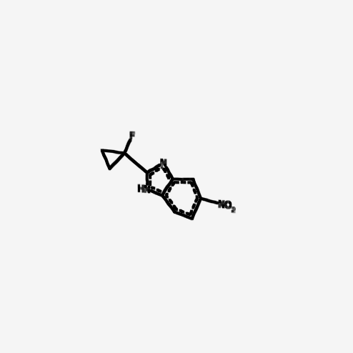 O=[N+]([O-])c1ccc2[nH]c(C3(F)CC3)nc2c1